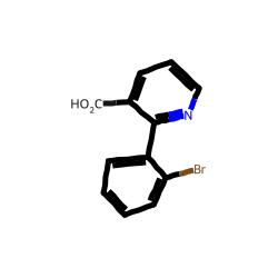 O=C(O)c1cccnc1-c1ccccc1Br